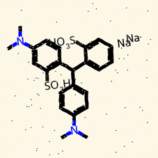 CN(C)c1ccc(C(c2ccccc2S(=O)(=O)O)c2ccc(N(C)C)cc2S(=O)(=O)O)cc1.[Na].[Na]